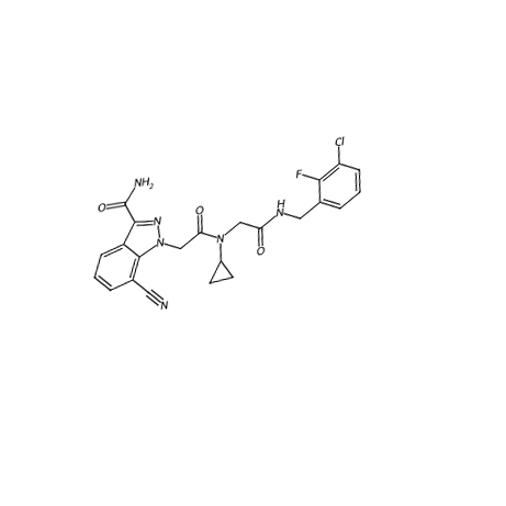 N#Cc1cccc2c(C(N)=O)nn(CC(=O)N(CC(=O)NCc3cccc(Cl)c3F)C3CC3)c12